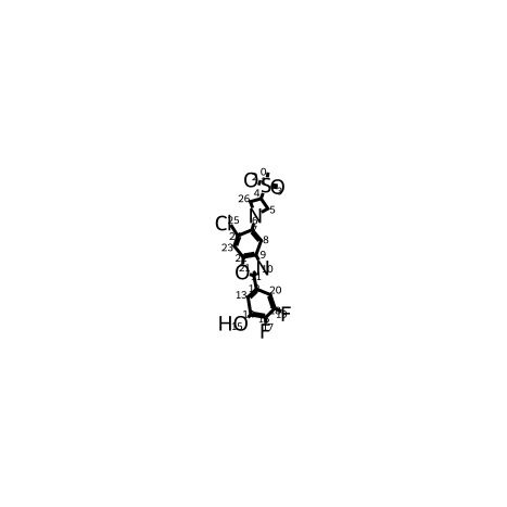 CS(=O)(=O)C1CN(c2cc3nc(-c4cc(O)c(F)c(F)c4)oc3cc2Cl)C1